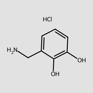 Cl.NCc1cccc(O)c1O